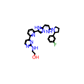 N=C(/C=C\c1ncc(-c2cccc(-c3ccnc(NCCO)n3)n2)[nH]1)N1CCCC1c1cccc(F)c1